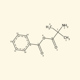 CC(C)(N)C(=O)OC(=O)c1ccccc1